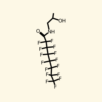 CC(O)CNC(=O)C(F)(F)C(F)(F)C(F)(F)C(F)(F)C(F)(F)C(F)(F)C(F)(F)F